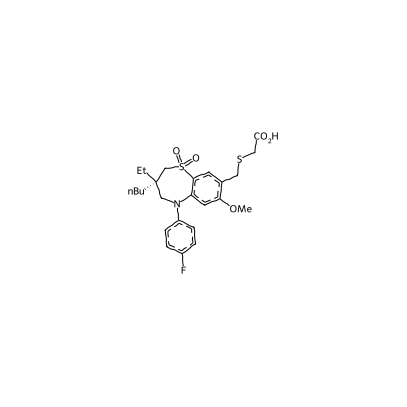 CCCC[C@@]1(CC)CN(c2ccc(F)cc2)c2cc(OC)c(CSCC(=O)O)cc2S(=O)(=O)C1